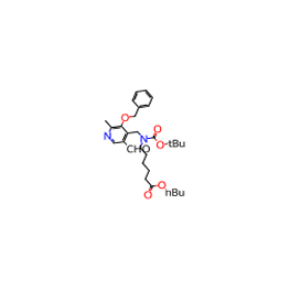 CCCCOC(=O)CCCCCN(Cc1c(C=O)cnc(C)c1OCc1ccccc1)C(=O)OC(C)(C)C